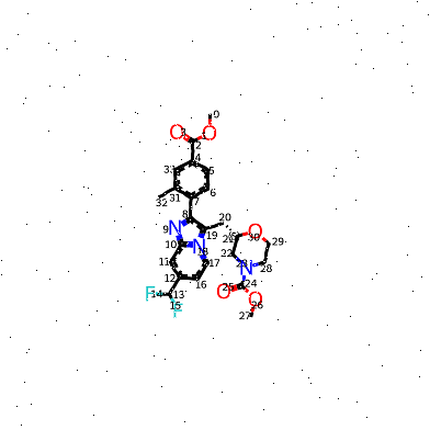 COC(=O)c1ccc(-c2nc3cc(C(F)F)ccn3c2C[C@H]2CN(C(=O)OC)CCO2)c(C)c1